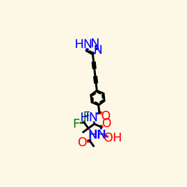 CC(=O)NC(C)(C(F)F)C(NC(=O)c1ccc(C#CC#Cc2c[nH]nn2)cc1)C(=O)NO